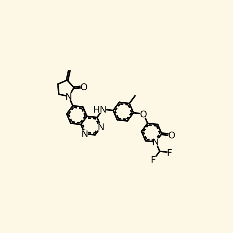 C=C1CCN(c2ccc3ncnc(Nc4ccc(Oc5ccn(C(F)F)c(=O)c5)c(C)c4)c3c2)C1=O